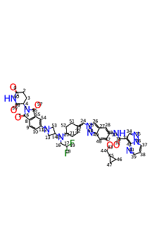 O=C1CCC(N2C(=O)c3ccc(N4CC(N(CC(F)F)C5CCC(=Cn6cc7cc(NC(=O)c8cnn9cccnc89)c(OCC8CC8)cc7n6)CC5)C4)cc3C2=O)C(=O)N1